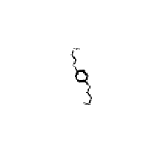 CCCCCCCCCCCCSc1ccc(SCCCCCCCCCCCC)cc1